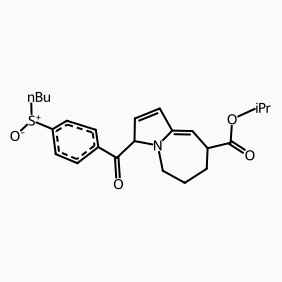 CCCC[S+]([O-])c1ccc(C(=O)C2C=CC3=CC(C(=O)OC(C)C)CCCN32)cc1